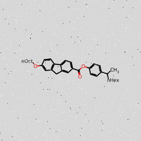 CCCCCCCCOc1ccc2c(c1)Cc1cc(C(=O)Oc3ccc(C(C)CCCCCC)cc3)ccc1-2